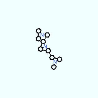 c1ccc(-n2c3ccccc3c3cc(-c4ccc5c(c4)c4cccc6c7ccc(-c8ccccc8-n8c9ccccc9c9ccccc98)cc7n5c46)ccc32)cc1